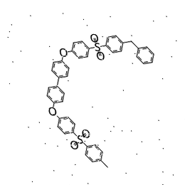 Cc1ccc(S(=O)(=O)c2ccc(Oc3ccc(-c4ccc(Oc5ccc(S(=O)(=O)c6ccc(Cc7ccccc7)cc6)cc5)cc4)cc3)cc2)cc1